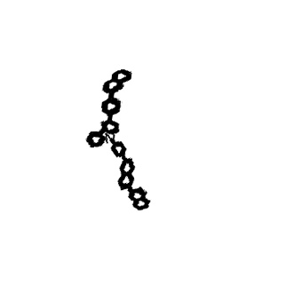 c1ccc2cc(-c3ccc(-c4ccc5c(c4)c4ccccc4n5-c4ccc(-c5ccc6cc(-c7ccc8ccccc8c7)ccc6c5)cc4)cc3)ccc2c1